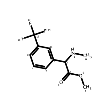 CNC(C(=O)OC)c1cccc(C(F)(F)F)c1